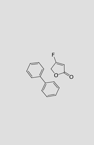 O=C1C=C(F)CO1.c1ccc(-c2ccccc2)cc1